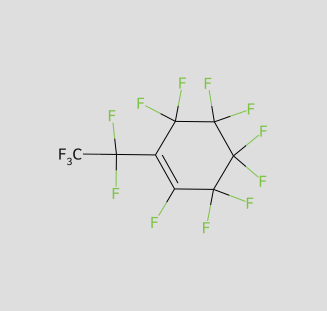 FC1=C(C(F)(F)C(F)(F)F)C(F)(F)C(F)(F)C(F)(F)C1(F)F